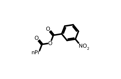 CCCC(=O)OC(=O)c1cccc([N+](=O)[O-])c1